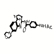 CC(=O)Nc1ccc(C(=O)NC2=Nc3cc(N4CCOCC4)ccc3C3=NCCN23)cc1